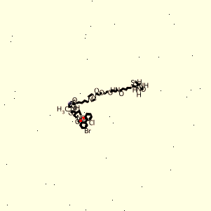 C[C@H](/C=C\S(=O)(=O)CCCCCN1CCN(C(=O)COCCOCCNC(=O)CCCC[C@@H]2SC[C@@H]3NC(=O)N[C@@H]32)CC1)NC(=O)C1(F)CCN(S(=O)(=O)c2ccc(Br)cc2-c2ccccc2Cl)CC1